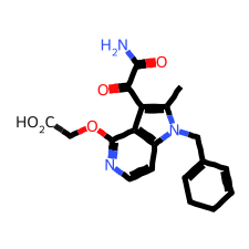 Cc1c(C(=O)C(N)=O)c2c(OCC(=O)O)nccc2n1CC1=CCCC=C1